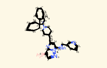 Bc1cnn2c(NCc3cccnc3)cc(C3CCN(/C(=C/C)C4(c5ccccc5)CCCCC4)CC3)nc12